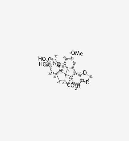 COc1ccc(C2(c3ccc4c(c3)OCO4)c3ccc(O)cc3CC2C(=O)O)c(OCC(=O)O)c1